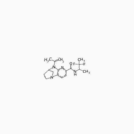 C=C(C)N1c2nc(C(=O)NC(C)C(C)(F)F)ccc2N2CCC1C2